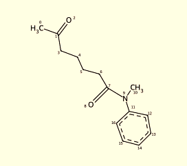 CC(=O)CCCCC(=O)N(C)c1ccccc1